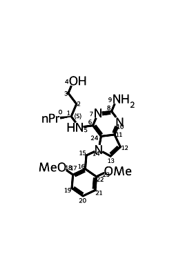 CCC[C@@H](CCO)Nc1nc(N)nc2ccn(Cc3c(OC)cccc3OC)c12